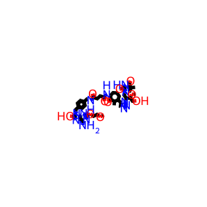 COCCOc1nc(N)c2nc(O)n(Cc3ccc(CNC(=O)CCC(=O)NC4CCCC(c5cnnn5C(Cn5cc(C)c(=O)[nH]c5=O)C(CO)OC)C(C)C4=O)cc3)c2n1